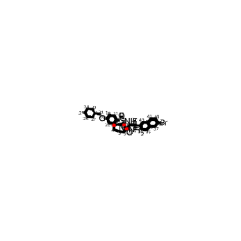 NC1CC2CCC(C1)N2C(=O)[C@H](NS(=O)(=O)c1ccc(OCC2CCCCC2)cc1)C(F)(F)c1ccc2cc(Br)ccc2c1